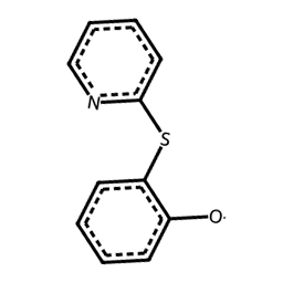 [O]c1ccccc1Sc1ccccn1